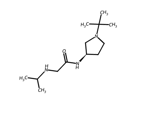 CC(C)NCC(=O)N[C@@H]1CCN(C(C)(C)C)C1